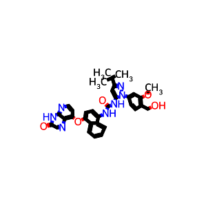 COc1cc(-n2nc(C(C)(C)C)cc2NC(=O)Nc2ccc(Oc3ccnc4[nH]c(=O)cnc34)c3ccccc23)ccc1CO